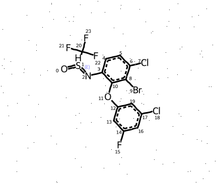 O=[SH](=N/c1ccc(Cl)c(Br)c1Oc1cc(F)cc(Cl)c1)/C(F)(F)F